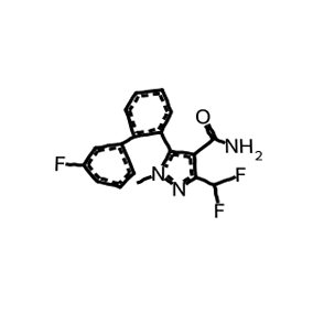 Cn1nc(C(F)F)c(C(N)=O)c1-c1ccccc1-c1cccc(F)c1